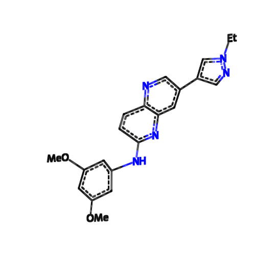 CCn1cc(-c2cnc3ccc(Nc4cc(OC)cc(OC)c4)nc3c2)cn1